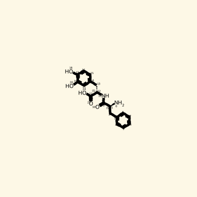 N[C@@H](Cc1ccccc1)C(=O)N[C@@H](Cc1ccc(O)c(O)c1)C(=O)O